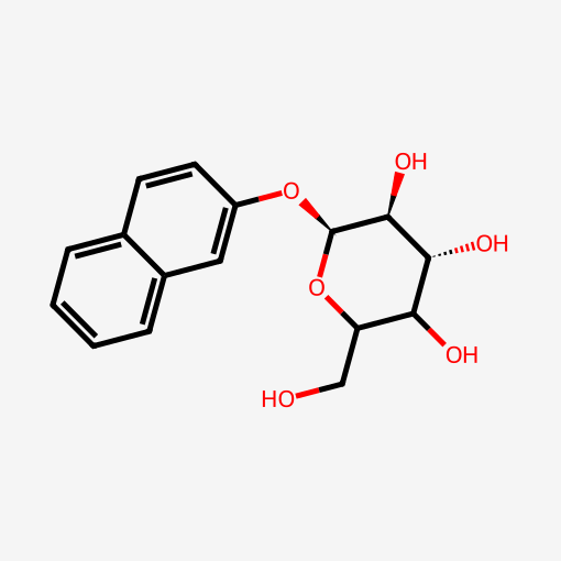 OCC1O[C@@H](Oc2ccc3ccccc3c2)[C@@H](O)[C@H](O)C1O